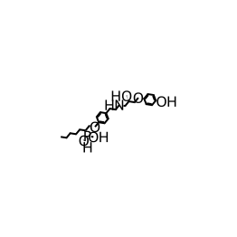 CCCCCC(COc1ccc(CCNC[C@H](O)COc2ccc(O)cc2)cc1)[PH](=O)O